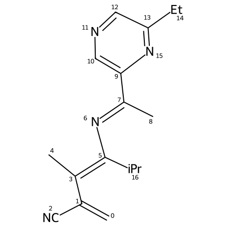 C=C(C#N)/C(C)=C(/N=C(\C)c1cncc(CC)n1)C(C)C